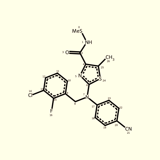 CSNC(=O)c1nc(N(Cc2cccc(Cl)c2F)c2ccc(C#N)cc2)sc1C